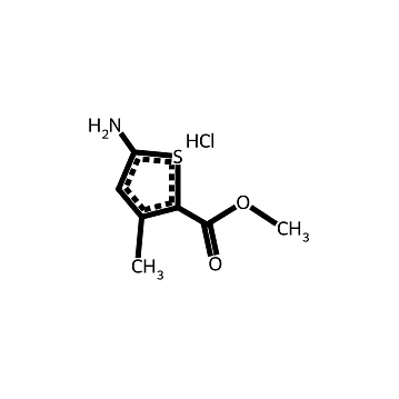 COC(=O)c1sc(N)cc1C.Cl